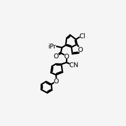 CC(C)C(C(=O)OC(C#N)c1cccc(Oc2ccccc2)c1)c1ccc(Cl)c2occc12